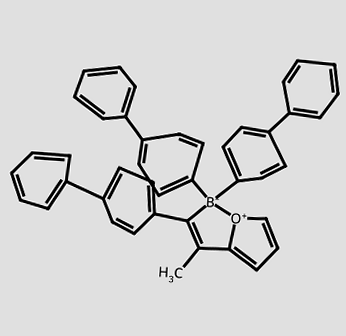 CC1=C(c2ccc(-c3ccccc3)cc2)[B-](c2ccc(-c3ccccc3)cc2)(c2ccc(-c3ccccc3)cc2)[o+]2cccc21